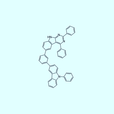 c1ccc(-c2nc(-c3ccccc3)c3c(n2)[nH]c2ccc(-c4cccc(-c5ccc6c(c5)c5ccccc5n6-c5ccccc5)c4)cc23)cc1